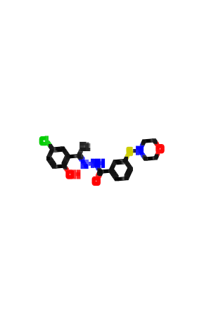 CC/C(=N\NC(=O)c1cccc(SN2CCOCC2)c1)c1cc(Cl)ccc1O